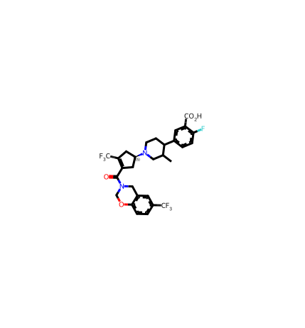 CC1CN([C@H]2CC(C(=O)N3COc4ccc(C(F)(F)F)cc4C3)=C(C(F)(F)F)C2)CCC1c1ccc(F)c(C(=O)O)c1